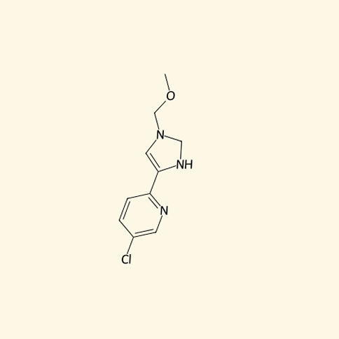 COCN1C=C(c2ccc(Cl)cn2)NC1